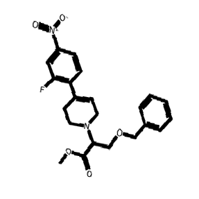 COC(=O)C(COCc1ccccc1)N1CC=C(c2ccc([N+](=O)[O-])cc2F)CC1